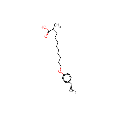 C=Cc1ccc(OCCCCCCCCCC(C)C(=O)O)cc1